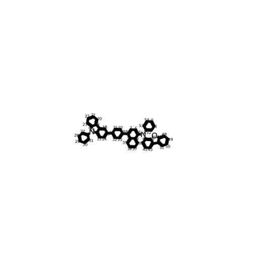 c1ccc(N(c2ccc(-c3ccc(-c4ccc5c(c4)c4ccccc4n5-c4ccccc4)cc3)c3ccccc23)c2cccc3c2oc2ccccc23)cc1